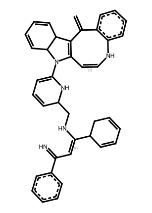 C=C1C2=C(/C=C\Nc3ccccc31)N(C1=CC=CC(CN/C(=C\C(=N)c3ccccc3)C3C=CC=CC3)N1)C1C=CC=CC21